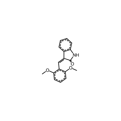 COc1cccc(OC)c1/C=C1\C(=O)Nc2ccccc21